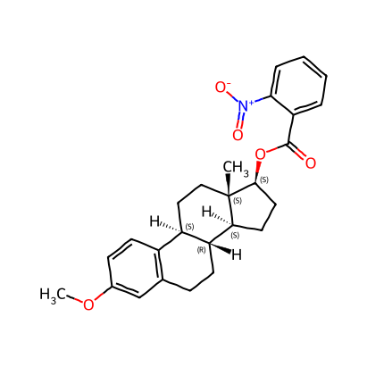 COc1ccc2c(c1)CC[C@@H]1[C@@H]2CC[C@]2(C)[C@@H](OC(=O)c3ccccc3[N+](=O)[O-])CC[C@@H]12